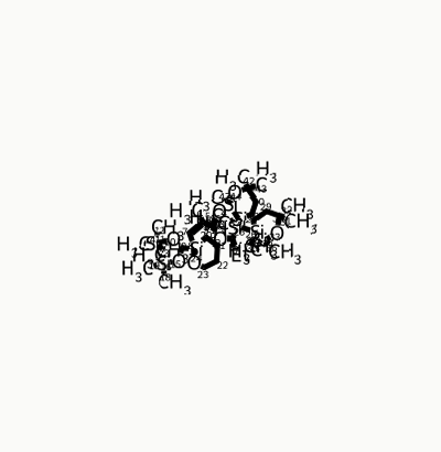 CCC(OC(=O)C(C)=C[Si]1(C(O[Si](C)(C)C)O[Si](C)(C)C)CCCCO1)[SiH]([Si]1(C)CCC(C)(C)O[Si]1(C)C)[Si]1(C)CCC(C)(C)O[Si]1(C)C